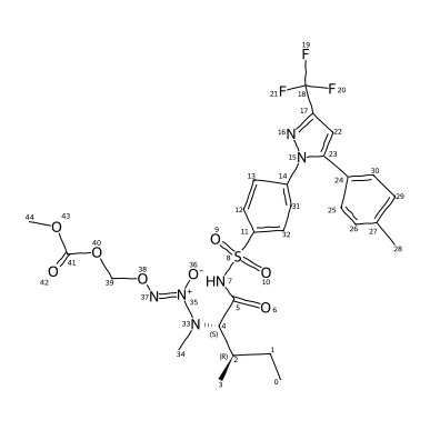 CC[C@@H](C)[C@@H](C(=O)NS(=O)(=O)c1ccc(-n2nc(C(F)(F)F)cc2-c2ccc(C)cc2)cc1)N(C)[N+]([O-])=NOCOC(=O)OC